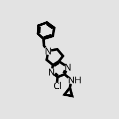 Clc1nc2c(nc1NC1CC1)CCN(Cc1ccccc1)C2